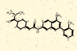 Cc1ccncc1-c1cc(N)c2cnc(NC(=O)C=C3CCC(C(=O)N(C)C)CC3)cc2c1